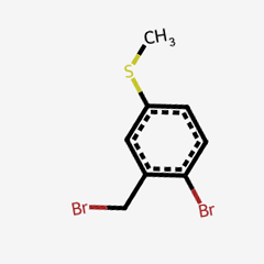 CSc1ccc(Br)c(CBr)c1